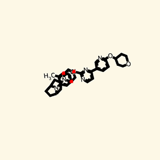 Cc1cc(Nc2nccc(-c3ccc(OC4CCOCC4)nc3)n2)ccc1N1C2CCC1CC(N1CCOCC1)C2